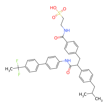 CC(C)Cc1ccc(C(Cc2ccc(C(=O)NCCS(=O)(=O)O)cc2)C(=O)Nc2ccc(-c3ccc(C(C)(F)F)cc3)cc2)cc1